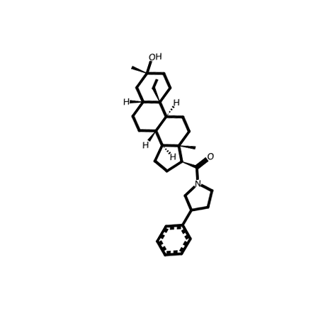 CC[C@]12CC[C@@](C)(O)C[C@H]1CC[C@H]1[C@@H]3CC[C@H](C(=O)N4CCC(c5ccccc5)C4)[C@@]3(C)CC[C@@H]12